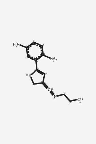 Nc1ccc(N)c(C2=CC(=C=NCCO)CS2)c1